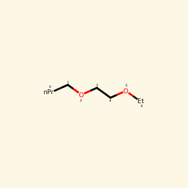 [CH2]CCCOCCOC[CH2]